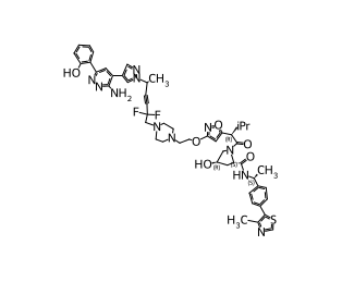 Cc1ncsc1-c1ccc([C@H](C)NC(=O)[C@@H]2C[C@@H](O)CN2C(=O)[C@@H](c2cc(OCCN3CCN(CC(F)(F)C#CC(C)n4cc(-c5cc(-c6ccccc6O)nnc5N)cn4)CC3)no2)C(C)C)cc1